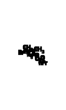 CCCC(=O)OOc1ccc(C(C)Br)cc1C